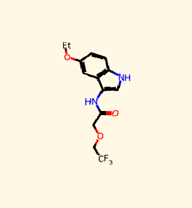 CCOc1ccc2[nH]cc(NC(=O)COCC(F)(F)F)c2c1